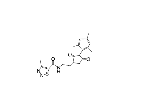 Cc1cc(C)c(C2C(=O)CC(CCNC(=O)c3snnc3C)C2=O)c(C)c1